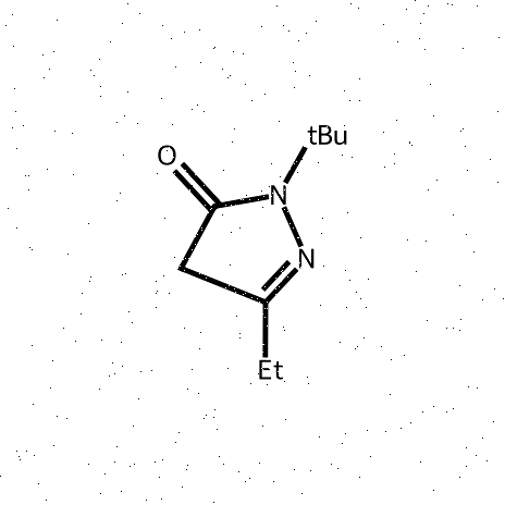 CCC1=NN(C(C)(C)C)C(=O)C1